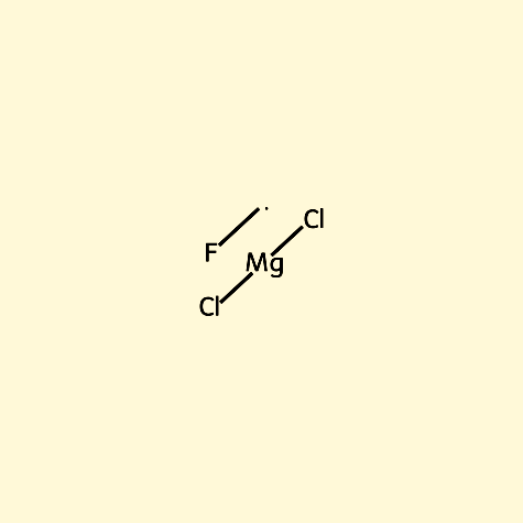 [CH2]F.[Cl][Mg][Cl]